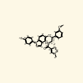 COc1cccc([C@H](Oc2ccc3c(cnn3-c3ccc(F)cc3)c2)[C@H](C)NC(=O)c2cn(C)nn2)c1